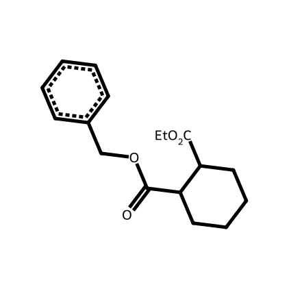 CCOC(=O)C1CCCCC1C(=O)OCc1ccccc1